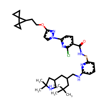 CC(C)(C)CC(CNc1cccc(SNC(=O)c2ccc(-n3ccc(OCCC4C5(CC5)C45CC5)n3)nc2Cl)n1)CC1CNC(C)(C)C1